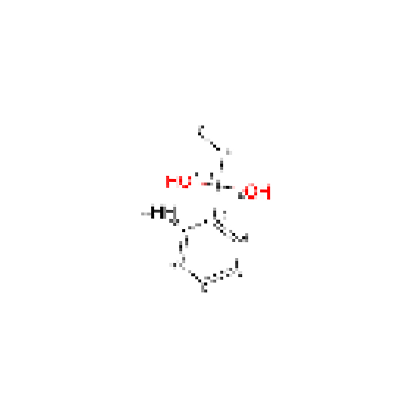 CCC(O)(O)c1ccccc1.[HH]